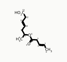 CC=CCC(=O)OC(C)CC=CCC(=O)O